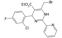 CCOC(=O)C1=C(CBr)NC(c2ccccn2)=NC1c1ccc(F)cc1Cl